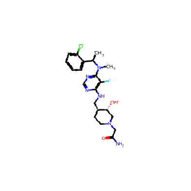 CC(c1ccccc1Cl)N(C)c1ncnc(NC[C@@H]2CCN(CC(N)=O)C[C@H]2O)c1F